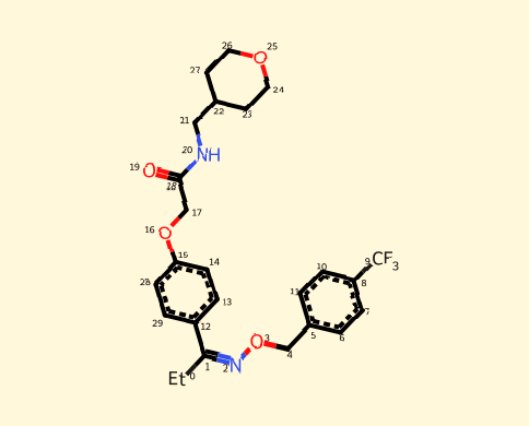 CCC(=NOCc1ccc(C(F)(F)F)cc1)c1ccc(OCC(=O)NCC2CCOCC2)cc1